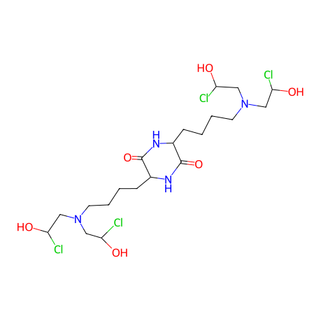 O=C1NC(CCCCN(CC(O)Cl)CC(O)Cl)C(=O)NC1CCCCN(CC(O)Cl)CC(O)Cl